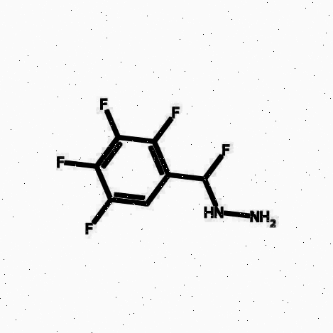 NNC(F)c1cc(F)c(F)c(F)c1F